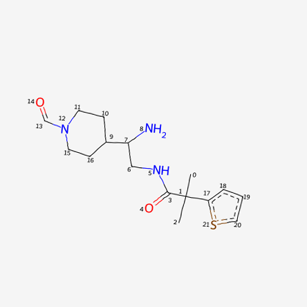 CC(C)(C(=O)NCC(N)C1CCN(C=O)CC1)c1cccs1